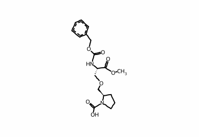 COC(=O)[C@H](COC[C@H]1CCCN1C(=O)O)NC(=O)OCc1ccccc1